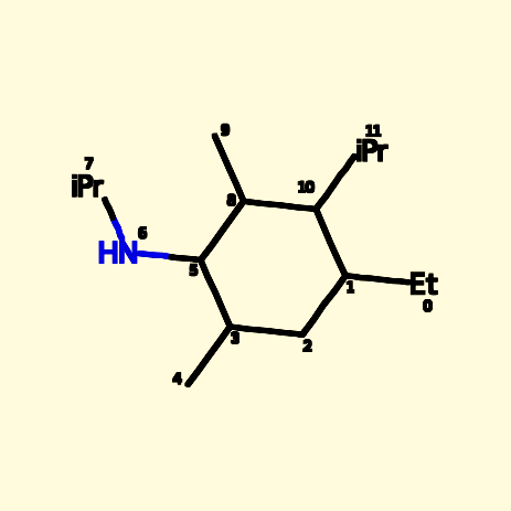 CCC1CC(C)C(NC(C)C)C(C)C1C(C)C